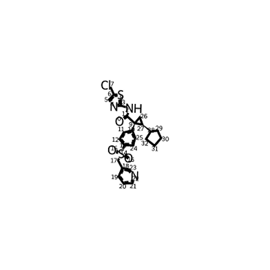 O=C(Nc1ncc(Cl)s1)[C@]1(c2ccc(S(=O)(=O)Cc3cccnc3)cc2)C[C@H]1C1CCCC1